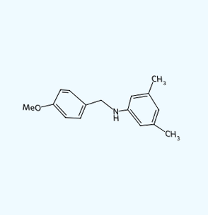 COc1ccc(CNc2cc(C)cc(C)c2)cc1